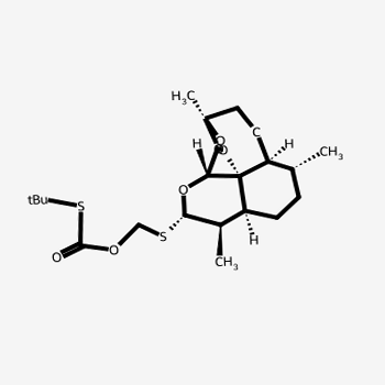 C[C@H]1[C@H](SCOC(=O)SC(C)(C)C)O[C@@H]2O[C@]3(C)CC[C@H]4[C@H](C)CC[C@@H]1[C@@]24OO3